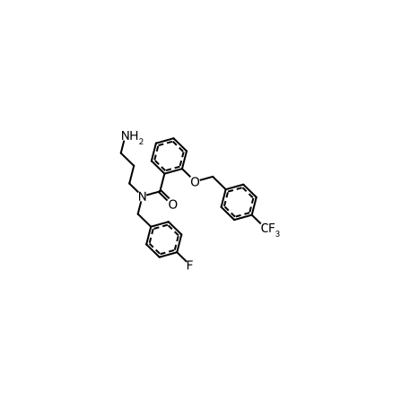 NCCCN(Cc1ccc(F)cc1)C(=O)c1ccccc1OCc1ccc(C(F)(F)F)cc1